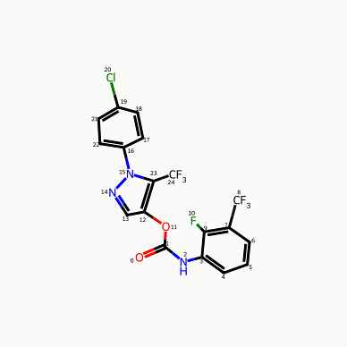 O=C(Nc1cccc(C(F)(F)F)c1F)Oc1cnn(-c2ccc(Cl)cc2)c1C(F)(F)F